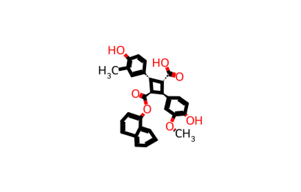 COc1cc([C@@H]2[C@@H](C(=O)O)[C@@H](c3ccc(O)c(C)c3)[C@@H]2C(=O)Oc2cccc3ccccc23)ccc1O